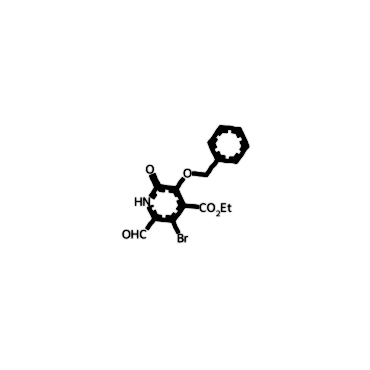 CCOC(=O)c1c(Br)c(C=O)[nH]c(=O)c1OCc1ccccc1